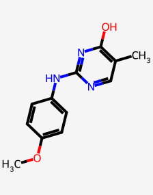 COc1ccc(Nc2ncc(C)c(O)n2)cc1